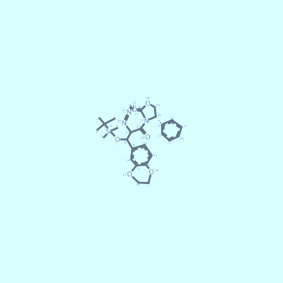 CC(C)(C)[Si](C)(C)OC(c1ccc2c(c1)OCCO2)C(N=[N+]=[N-])C(=O)N1C(=O)OC[C@@H]1c1ccccc1